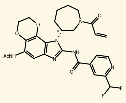 C=CC(=O)N1CCCC[C@@H](n2c(NC(=O)c3ccnc(C(F)F)c3)nc3cc(NC(C)=O)c4c(c32)OCCO4)C1